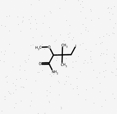 COC(C(N)=O)C(C)(C)CI